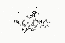 CN(C)CC(=O)N[C@@H](Cc1ccccc1)C(=O)N[C@@H](CCC(=O)C=[N+]=[N-])C(N)=O